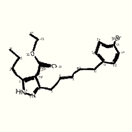 CCCc1[nH]nc(CCCCCc2ccc(Br)cc2)c1C(=O)OCC